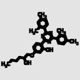 CCCCC(O)COc1ccc(-c2nc(-c3ccc(C)cc3C)nc(-c3ccc(C)cc3C)n2)c(O)c1